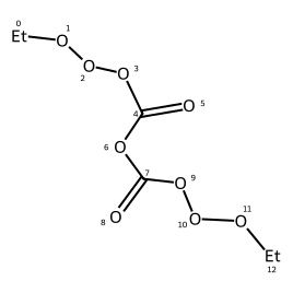 CCOOOC(=O)OC(=O)OOOCC